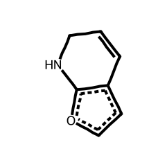 C1=Cc2ccoc2NC1